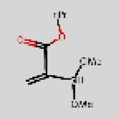 C=C(C(=O)OCCC)[SiH](OC)OC